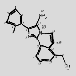 Cc1ccccc1-c1nc2c3cccc(CO)c3ccn2c1N